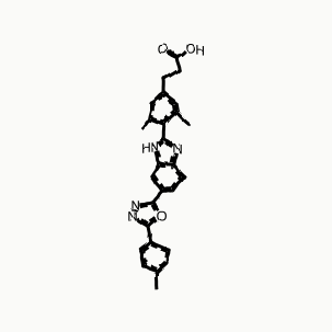 Cc1ccc(-c2nnc(-c3ccc4nc(-c5c(C)cc(CCC(=O)O)cc5C)[nH]c4c3)o2)cc1